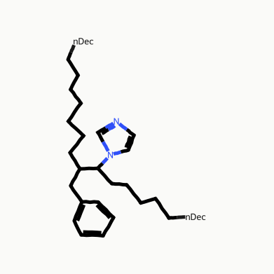 CCCCCCCCCCCCCCCCCC(Cc1ccccc1)C(CCCCCCCCCCCCCCC)n1ccnc1